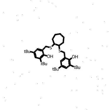 CC(C)(C)c1cc(CSC2CCCCCC2SCc2cc(C(C)(C)C)cc(C(C)(C)C)c2O)c(O)c(C(C)(C)C)c1